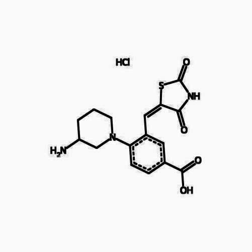 Cl.NC1CCCN(c2ccc(C(=O)O)cc2C=C2SC(=O)NC2=O)C1